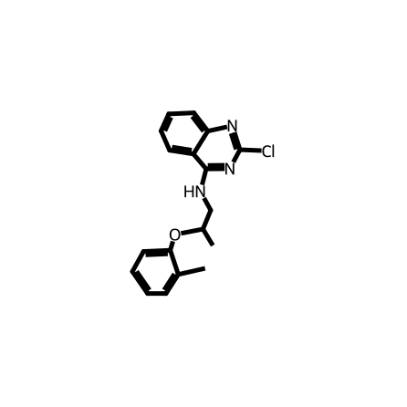 Cc1ccccc1OC(C)CNc1nc(Cl)nc2ccccc12